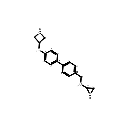 c1cc(-c2ccc(OC3COC3)cc2)ccc1COC1CO1